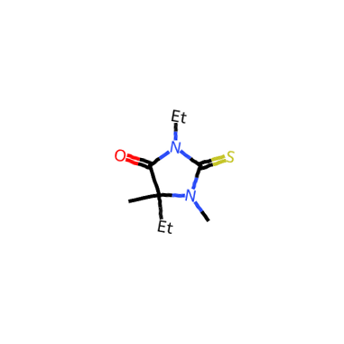 CCN1C(=O)C(C)(CC)N(C)C1=S